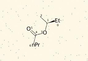 C[CH][C@H](C)OC(=O)CCC